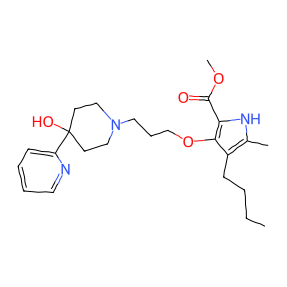 CCCCc1c(C)[nH]c(C(=O)OC)c1OCCCN1CCC(O)(c2ccccn2)CC1